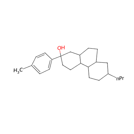 CCCC1CCC2C(CCC3CC(O)(c4ccc(C)cc4)CCC32)C1